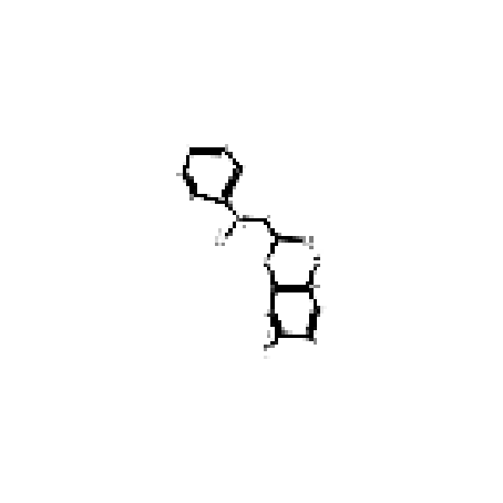 CCC(CN(CC)c1ccccc1)Oc1cc(Cl)ccc1Cl